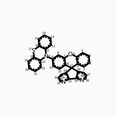 c1ccc2c(c1)Oc1cc(N3c4ccccc4Sc4ccccc43)ccc1C21c2cccnc2-c2ncccc21